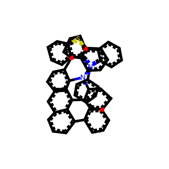 c1ccc(-c2cccc3cccc(-c4ccccc4N(c4ccccc4-c4cccc5c6ccccc6n(-c6ccccc6)c45)c4cccc5sc6ccccc6c45)c23)cc1